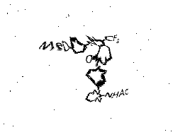 COc1ccc(-n2nc(C(F)(F)F)c3c2C(=O)N(c2ccc(N4CCCN=C4NC(C)=O)cc2)CC3)cc1